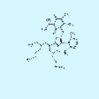 CCCCC(CC)CN(CC(CC)CCCC)C1=NC(c2c(C)cccc2C)=C(/C=C2\C(=O)N(N(C)C)C(=O)C(C)=C2C)C1